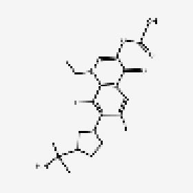 CCn1cc(OC(=O)O)c(=O)c2cc(F)c(N3CCC(C(C)(C)N)C3)c(F)c21